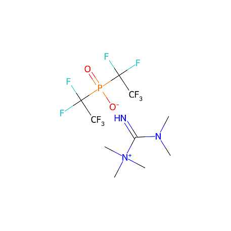 CN(C)C(=N)[N+](C)(C)C.O=P([O-])(C(F)(F)C(F)(F)F)C(F)(F)C(F)(F)F